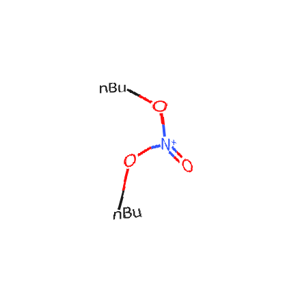 CCCCO[N+](=O)OCCCC